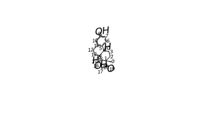 C[C@]12CC[C@@H]3c4ccc(O)cc4CC[C@H]3[C@@H]1OCC2=O